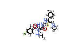 CC(C)(NC(=O)c1ccc(F)cc1)C(=O)Nc1nc(-c2ccccc2)c(CN2CCCC2)s1